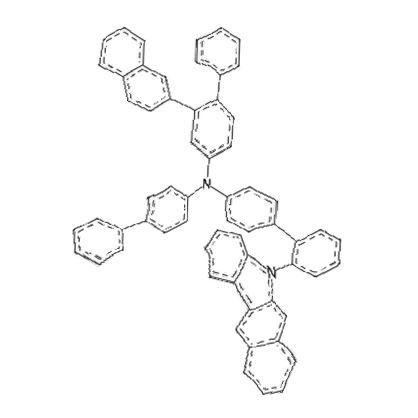 c1ccc(-c2ccc(N(c3ccc(-c4ccccc4-n4c5ccccc5c5cc6ccccc6cc54)cc3)c3ccc(-c4ccccc4)c(-c4ccc5ccccc5c4)c3)cc2)cc1